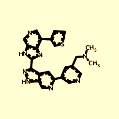 CN(C)Cc1cncc(-c2cc3c(-c4nc5c(-c6ccsc6)cncc5[nH]4)n[nH]c3cn2)c1